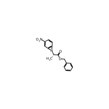 C[C@@H](C(=O)OCc1ccccc1)N1c2ccc([N+](=O)[O-])cc21